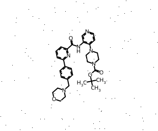 CC(C)(C)OC(=O)N1CCN(c2ccncc2NC(=O)c2cccc(-c3ccc(CN4CCOCC4)cc3)n2)CC1